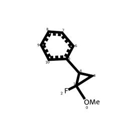 COC1(F)CC1c1ccccc1